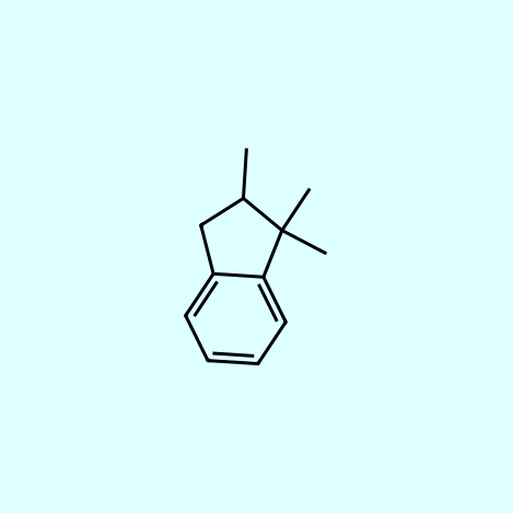 CC1Cc2ccccc2C1(C)C